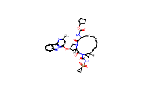 O=C(N[C@H]1CCCCC/C=C\[C@@H]2C[C@@]2(C(=O)NS(=O)(=O)C2CC2)NC(=O)[C@@H]2C[C@@H](Oc3cc(C(F)(F)F)nc4c5ccccc5nn34)CN2C1=O)OC1CCCC1